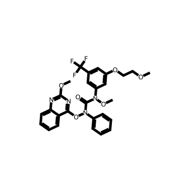 COCCOc1cc(N(OC)C(=O)N(Oc2nc(OC)nc3ccccc23)c2ccccc2)cc(C(F)(F)F)c1